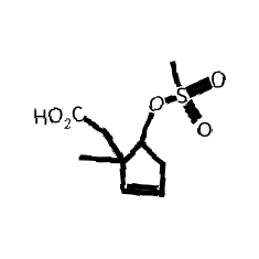 CC1(CC(=O)O)C=CCC1OS(C)(=O)=O